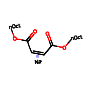 CCCCCCCCOC(=O)/C=C\C(=O)OCCCCCCCC.[Na]